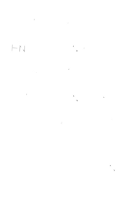 O=c1[nH][c]cnc1N1CC2CNCC2C1